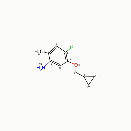 Cc1cc(Cl)c(OCC2CC2)cc1N